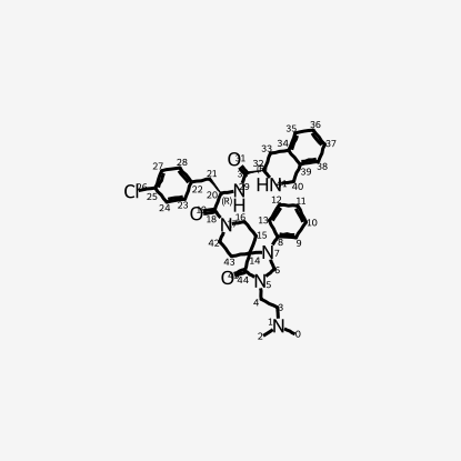 CN(C)CCN1CN(c2ccccc2)C2(CCN(C(=O)[C@@H](Cc3ccc(Cl)cc3)NC(=O)[C@H]3Cc4ccccc4CN3)CC2)C1=O